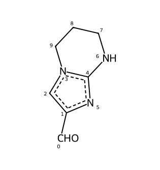 O=Cc1cn2c(n1)NCCC2